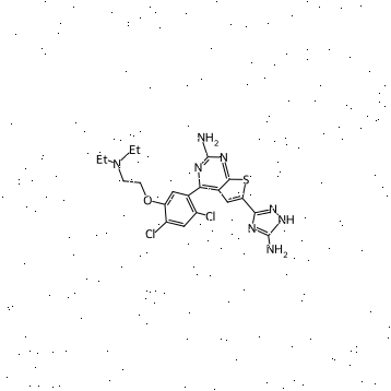 CCN(CC)CCOc1cc(-c2nc(N)nc3sc(-c4n[nH]c(N)n4)cc23)c(Cl)cc1Cl